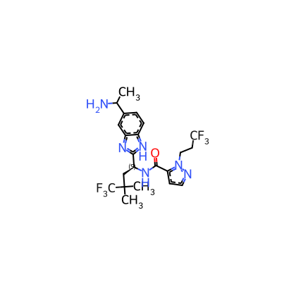 CC(N)c1ccc2[nH]c([C@H](CC(C)(C)C(F)(F)F)NC(=O)c3ccnn3CCC(F)(F)F)nc2c1